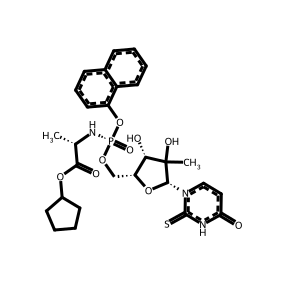 C[C@H](N[P@](=O)(OC[C@H]1O[C@@H](n2ccc(=O)[nH]c2=S)C(C)(O)[C@H]1O)Oc1cccc2ccccc12)C(=O)OC1CCCC1